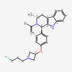 C=C(CC)N1[C@H](c2ccc(OC3CN(CCCF)C3)cc2)c2[nH]c3ccccc3c2C[C@H]1C